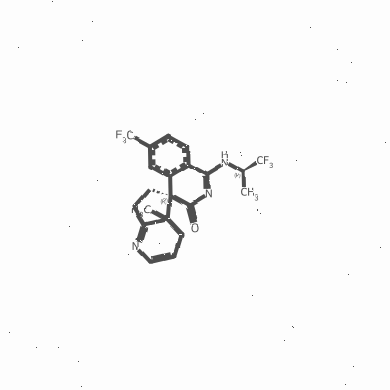 C[C@@H](NC1=NC(=O)[C@]2(CCC3=NC=CCC32C)c2cc(C(F)(F)F)ccc21)C(F)(F)F